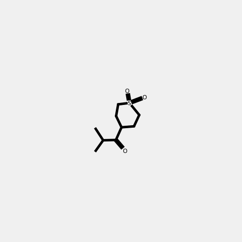 CC(C)C(=O)C1CCS(=O)(=O)CC1